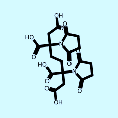 O=C(O)CC(CCC(CC(=O)O)(C(=O)O)N1C(=O)CCC1=O)(C(=O)O)N1C(=O)CCC1=O